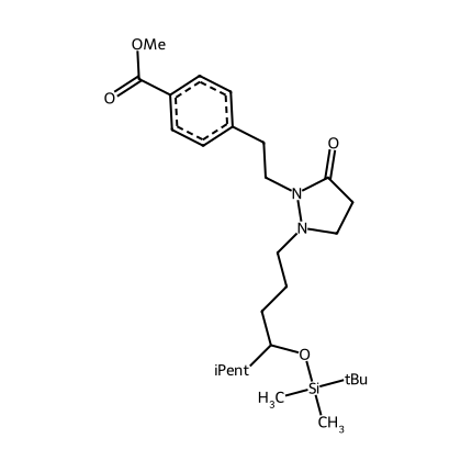 CCCC(C)C(CCCN1CCC(=O)N1CCc1ccc(C(=O)OC)cc1)O[Si](C)(C)C(C)(C)C